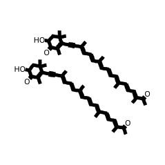 CC(=O)/C(C)=C/C=C/C(C)=C/C=C/C=C(C)/C=C/C=C(\C)C#CC1=C(C)C(=O)C(O)CC1(C)C.CC(=O)/C(C)=C/C=C/C(C)=C/C=C/C=C(C)/C=C/C=C(\C)C#CC1=C(C)C(=O)C(O)CC1(C)C